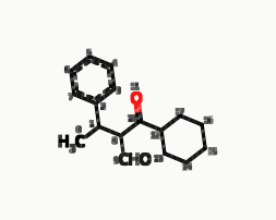 CC(c1ccccc1)C(C=O)C(=O)C1CCCCC1